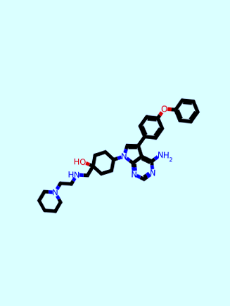 Nc1ncnc2c1c(-c1ccc(Oc3ccccc3)cc1)cn2C1CCC(O)(CNCCN2CCCCC2)CC1